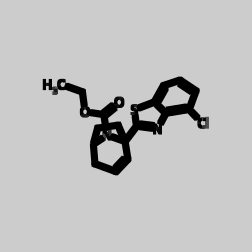 CCOC(=O)N1C2CC=CC1(c1nc3c(Cl)cccc3s1)CC2